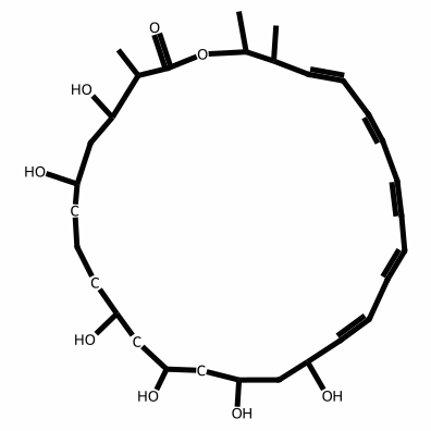 CC1\C=C/C=C\C=C/C=C\C=C/C(O)CC(O)CC(O)CC(O)CCCC(O)CC(O)C(C)C(=O)OC1C